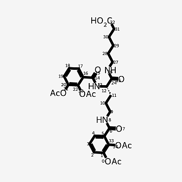 CC(=O)Oc1cccc(C(=O)NCCC[C@H](NC(=O)c2cccc(OC(C)=O)c2OC(C)=O)C(=O)NCCCCCC(=O)O)c1OC(C)=O